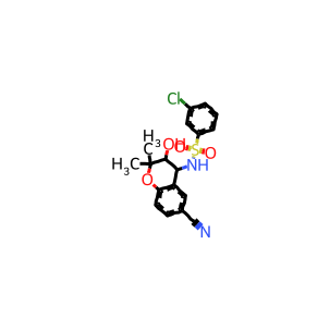 CC1(C)Oc2ccc(C#N)cc2C(NS(=O)(=O)c2cccc(Cl)c2)C1O